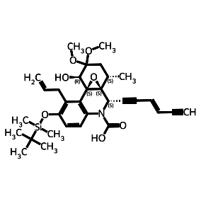 C#CC=CC#C[C@@H]1N(C(=O)O)c2ccc(O[Si](C)(C)C(C)(C)C)c(CC=C)c2[C@@]23O[C@@]12[C@@H](C)CC(OC)(OC)[C@@H]3O